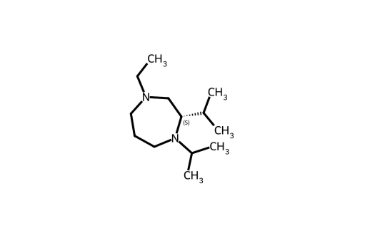 CCN1CCCN(C(C)C)[C@@H](C(C)C)C1